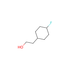 OCCC1CCC(F)CC1